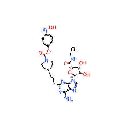 CCNC(=O)[C@H]1O[C@@H](n2cnc3c(N)nc(CCCC4CCN(C(=O)Oc5ccc(NO)cc5)CC4)nc32)C(O)[C@H]1O